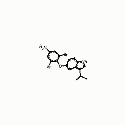 CC(C)c1c[nH]c2ccc(Oc3c(Br)cc(N)cc3Br)cc12